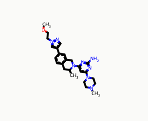 COCCn1cc(-c2ccc3c(c2)CN(c2cc(N4CCN(C)CC4)nc(N)n2)C(C)C3)cn1